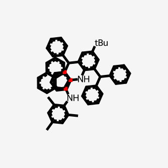 Cc1cc(C)c(NC2=C(Nc3c(C(c4ccccc4)c4ccccc4)cc(C(C)(C)C)cc3C(c3ccccc3)c3ccccc3)c3cccc4cccc2c34)c(C)c1